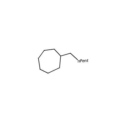 CCCCCCC1CCCCCC1